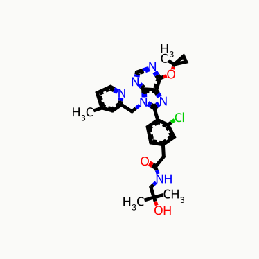 Cc1ccnc(Cn2c(-c3ccc(CC(=O)NCC(C)(C)O)cc3Cl)nc3c(OC4(C)CC4)ncnc32)c1